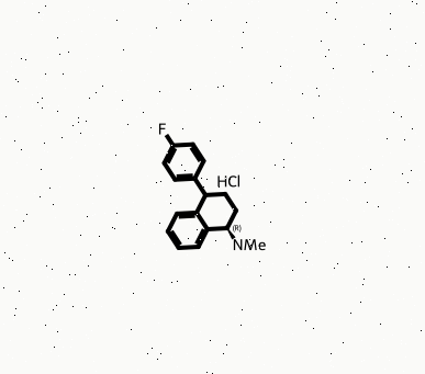 CN[C@@H]1CCC(c2ccc(F)cc2)c2ccccc21.Cl